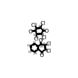 O=C1C(Cl)=C(Cl)C(=O)C(Cl)=C1Cl.O=C1C(Cl)=C(Cl)C(=O)c2ccccc21